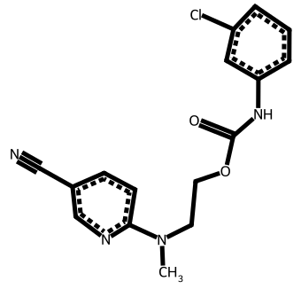 CN(CCOC(=O)Nc1cccc(Cl)c1)c1ccc(C#N)cn1